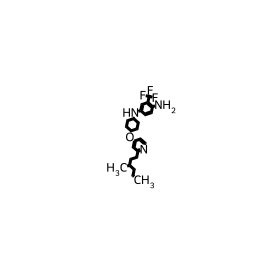 CCCC(C)CCc1cc(O[C@H]2CC[C@H](Nc3ccc(N)c(C(F)(F)F)c3)CC2)ccn1